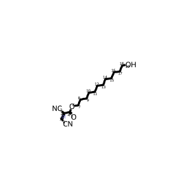 N#C/C=C(/C#N)C(=O)OCCCCCCCCCCCCO